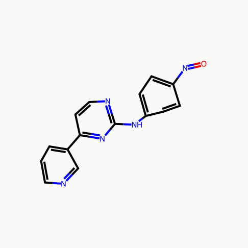 O=Nc1ccc(Nc2nccc(-c3cccnc3)n2)cc1